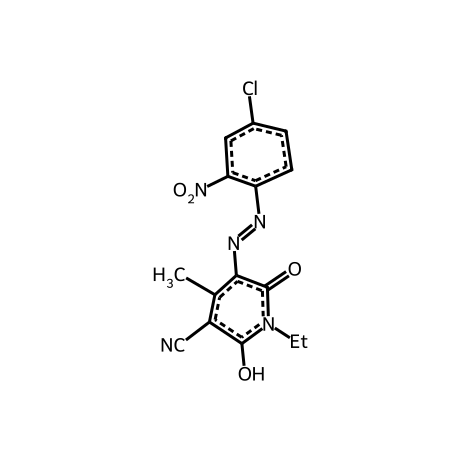 CCn1c(O)c(C#N)c(C)c(N=Nc2ccc(Cl)cc2[N+](=O)[O-])c1=O